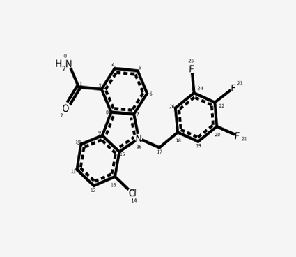 NC(=O)c1cccc2c1c1[c]ccc(Cl)c1n2Cc1cc(F)c(F)c(F)c1